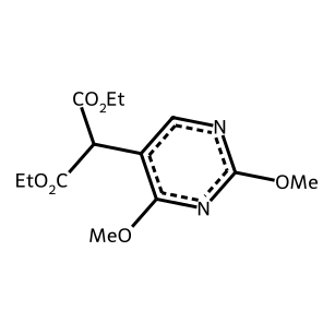 CCOC(=O)C(C(=O)OCC)c1cnc(OC)nc1OC